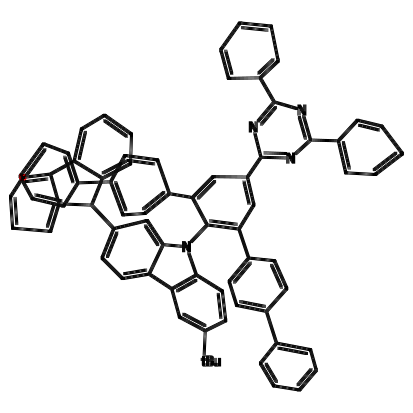 CC(C)(C)c1ccc2c(c1)c1ccc(C3c4ccccc4-c4ccccc43)cc1n2-c1c(-c2ccc(-c3ccccc3)cc2)cc(-c2nc(-c3ccccc3)nc(-c3ccccc3)n2)cc1-c1ccc(-c2ccccc2)cc1